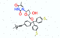 CSc1ccc(C(OC[C@H]2O[C@@H](n3cc(C)c(=O)[nH]c3=O)C[C@@H]2O)(c2ccc(C#C[Si](C)(C)C)cc2)c2ccc(SC)cc2)cc1